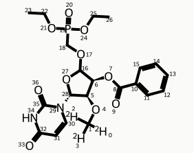 [2H]C([2H])([2H])O[C@@H]1[C@H](OC(=O)c2ccccc2)C(OCP(=O)(OCC)OCC)O[C@H]1n1ccc(=O)[nH]c1=O